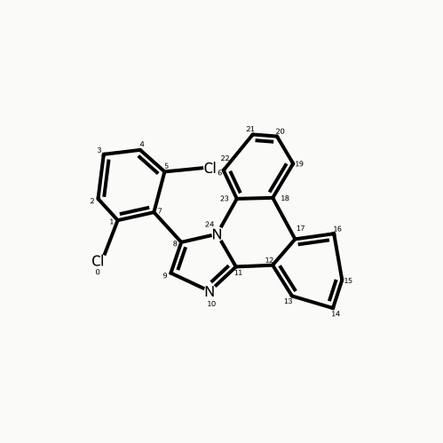 Clc1cccc(Cl)c1-c1cnc2c3ccccc3c3ccccc3n12